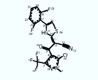 Cn1nc(C(F)(F)F)c(C(=O)/C(C#N)=C2\NC(c3c(F)cccc3F)=CS2)c1Cl